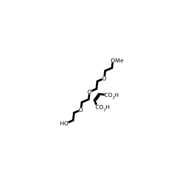 COCCOCCOCCOCCO.O=C(O)/C=C\C(=O)O